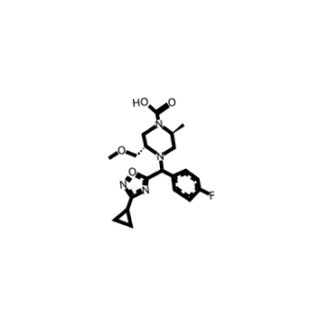 COC[C@@H]1CN(C(=O)O)[C@@H](C)CN1C(c1ccc(F)cc1)c1nc(C2CC2)no1